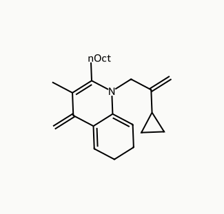 C=C1C2=CCCC=C2N(CC(=C)C2CC2)C(CCCCCCCC)=C1C